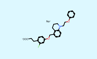 O=C([O-])CCc1ccc(OCc2cccc3c2CCCN3CCOc2ccccc2)cc1F.[Na+]